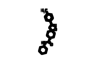 Cc1ccc(C2=NOC3(CCN(C(=O)NC4CCCCC4)CC3)C2)cc1